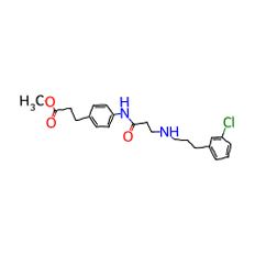 COC(=O)CCc1ccc(NC(=O)CCNCCCc2cccc(Cl)c2)cc1